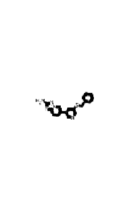 Nc1nc2ccc(-c3cncc(SCc4ccccc4)c3)cn2n1